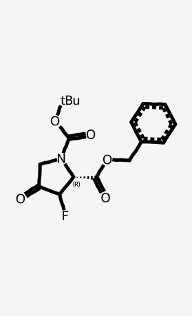 CC(C)(C)OC(=O)N1CC(=O)C(F)[C@H]1C(=O)OCc1ccccc1